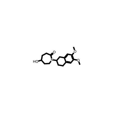 COc1cc2c(cc1OC)CC(N1CCC(O)CCC1=O)CC2